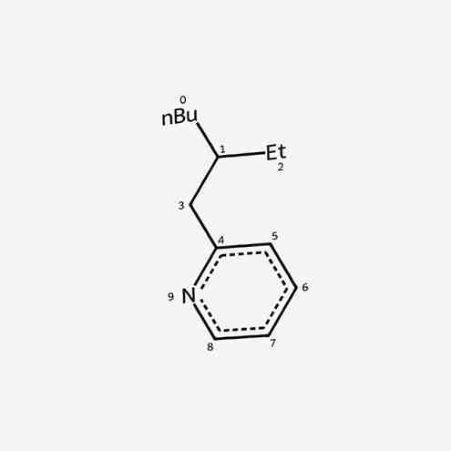 CCCCC(CC)Cc1ccccn1